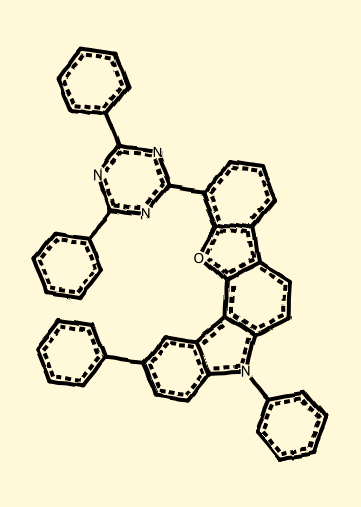 c1ccc(-c2ccc3c(c2)c2c4oc5c(-c6nc(-c7ccccc7)nc(-c7ccccc7)n6)cccc5c4ccc2n3-c2ccccc2)cc1